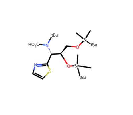 CC(C)(C)N(C(=O)O)[C@@H](c1nccs1)[C@@H](CO[Si](C)(C)C(C)(C)C)O[Si](C)(C)C(C)(C)C